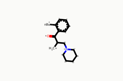 CCCCc1ccccc1C(=O)C(C)CN1CCCCC1